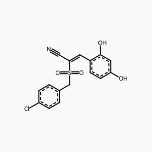 N#C/C(=C/c1ccc(O)cc1O)S(=O)(=O)Cc1ccc(Cl)cc1